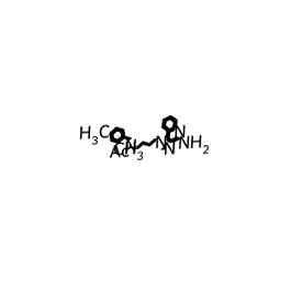 CC(=O)N(CCCCn1cnc2c(N)nc3ccccc3c21)Cc1ccc(C)cc1C